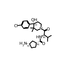 CC(C)[C@@H](NC(=O)[C@@H]1CC[C@H](N)C1)C(=O)N1CC[C@](O)(c2ccc(Cl)cc2)C(C)(C)C1